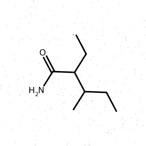 [CH2]CC(C(N)=O)C(C)CC